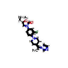 CC(=O)NC[C@H]1CN(c2ccc(N3CCC(=C(C#N)n4ccnc4)CC3)c(F)c2)C(=O)O1